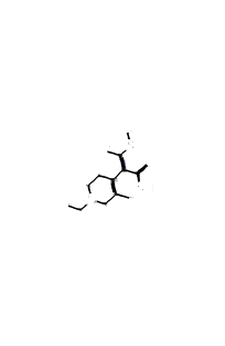 C=C(N)/C(C1=C(C)CN(CC)CC1)=C(/C)NC